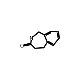 O=C1CCc2ccccc2C[N]1